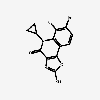 Cc1c(Br)ccc2c3oc(S)nc3c(=O)n(C3CC3)c12